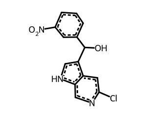 O=[N+]([O-])c1cccc(C(O)c2c[nH]c3cnc(Cl)cc23)c1